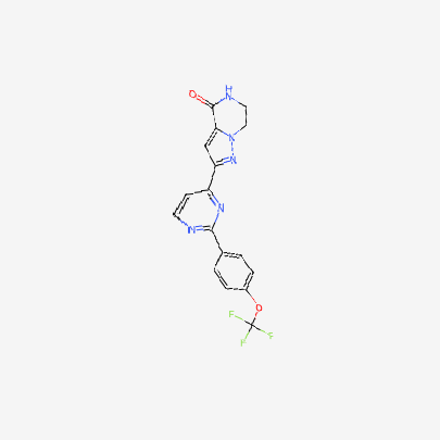 O=C1NCCn2nc(-c3ccnc(-c4ccc(OC(F)(F)F)cc4)n3)cc21